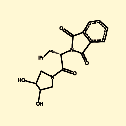 CC(C)C[C@@H](C(=O)N1CC(O)C(O)C1)N1C(=O)c2ccccc2C1=O